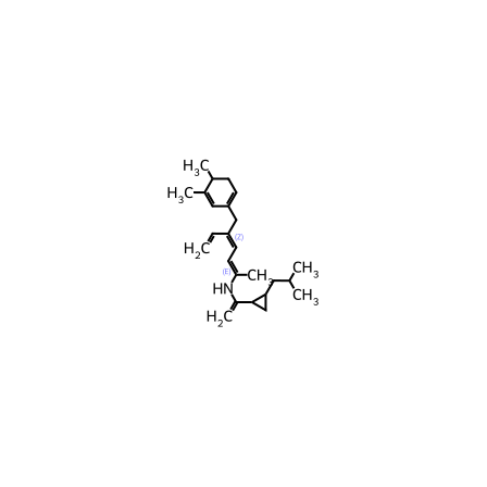 C=C/C(=C\C=C(/C)NC(=C)C1CC1CC(C)C)CC1=CCC(C)C(C)=C1